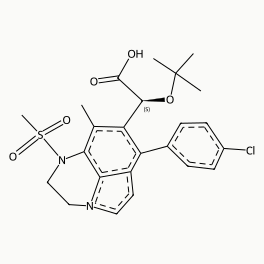 Cc1c([C@H](OC(C)(C)C)C(=O)O)c(-c2ccc(Cl)cc2)c2ccn3c2c1N(S(C)(=O)=O)CC3